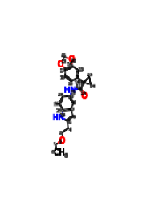 CCOCCc1cc2cc(NC(=O)C3(c4ccc5c(c4)OCO5)CC3)ccc2[nH]1